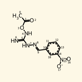 CC(=O)ONC(=N)NN=Cc1cccc([N+](=O)[O-])c1